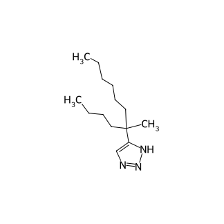 CCCCCCC(C)(CCCC)c1cnn[nH]1